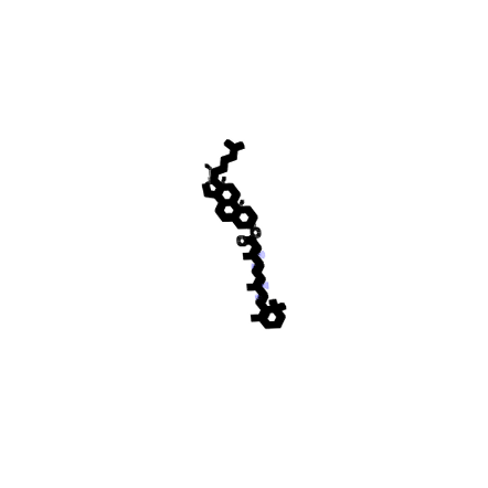 CC1=C(/C=C/C(C)=C/C=C/C(C)=C/C(=O)O[C@H]2CC[C@@]3(C)C(=CCC4C3CC[C@@]3(C)C4CC[C@@H]3[C@H](C)CCCC(C)C)C2)C(C)(C)CCC1